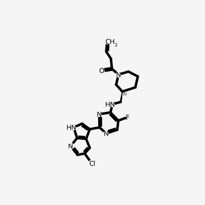 C=CCC(=O)N1CCC[C@@H](CNc2nc(-c3c[nH]c4ncc(Cl)cc34)ncc2F)C1